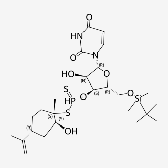 C=C(C)[C@@H]1CC[C@](C)(S[PH](=S)O[C@H]2[C@@H](O)[C@H](n3ccc(=O)[nH]c3=O)O[C@@H]2CO[Si](C)(C)C(C)(C)C)[C@@H](O)C1